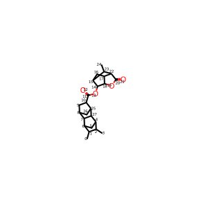 CC1C(C)C2CC1C1C3CC(C(=O)OC4C5CC6C4OC(=O)C6C5C)C(C3)C21